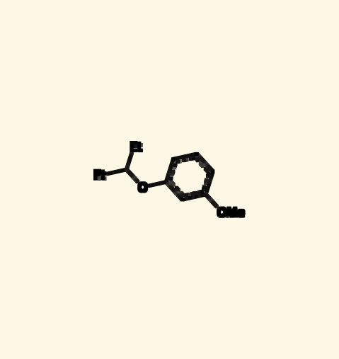 CCC(CC)Oc1cccc(OC)c1